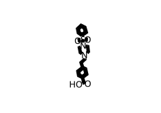 O=C(O)c1ccc(CCN2CCN(S(=O)(=O)c3ccccc3)CC2)cc1